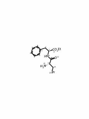 CCOC(=O)[C@H](Cc1ccccc1)NC(=O)[C@@H](N)CC(C)C